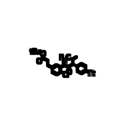 CCC1=CCC([C@@H](C(=O)Nc2cc(CCC(=O)OC(C)(C)C)ccc2Cl)[C@@H](C)C(F)(F)F)C=C1